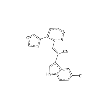 N#C/C(=C\c1cnccc1-c1ccoc1)c1c[nH]c2ccc(Cl)cc12